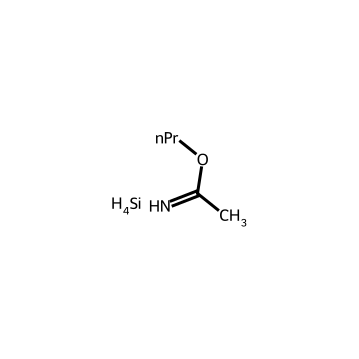 CCCOC(C)=N.[SiH4]